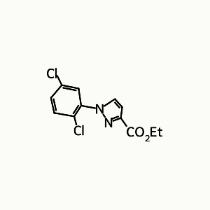 CCOC(=O)c1ccn(-c2cc(Cl)ccc2Cl)n1